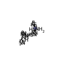 Cc1ccc(CNc2nsnc2NCCCSc2nccc(N/C(N)=N\CC(F)(F)F)n2)cn1